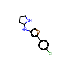 Clc1ccc(-c2cc(NC3CCCN3)cs2)cc1